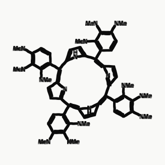 CNc1ccc(-c2c3nc(c(-c4ccc(NC)c(NC)c4NC)c4ccc([nH]4)c(-c4ccc(NC)c(NC)c4NC)c4nc(c(-c5ccc(NC)c(NC)c5NC)c5ccc2[nH]5)C=C4)C=C3)c(NC)c1NC